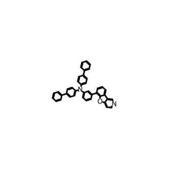 c1ccc(-c2ccc(N(c3ccc(-c4ccccc4)cc3)c3cccc(-c4cccc5c4oc4ccncc45)c3)cc2)cc1